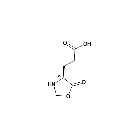 O=C(O)CC[C@@H]1NCOC1=O